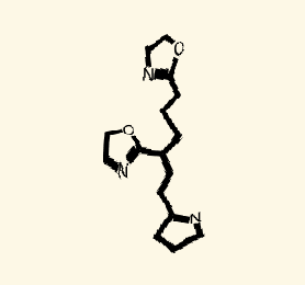 C1CN=C(CCC(CCCC2=NCCO2)C2=NCCO2)C1